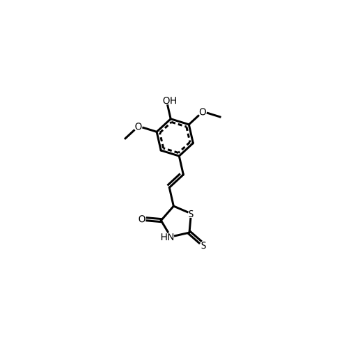 COc1cc(C=CC2SC(=S)NC2=O)cc(OC)c1O